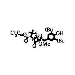 CO[C@@]1(/N=C/c2cc(C(C)(C)C)c(O)c(C(C)(C)C)c2)C(=O)N2[C@@H](C(=O)OCC(Cl)(Cl)Cl)C(C)(C)S[C@@H]21